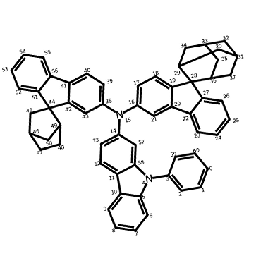 c1ccc(-n2c3ccccc3c3ccc(N(c4ccc5c(c4)-c4ccccc4C54C5CC6CC(C5)CC4C6)c4ccc5c(c4)C4(CC6CCC4C6)c4ccccc4-5)cc32)cc1